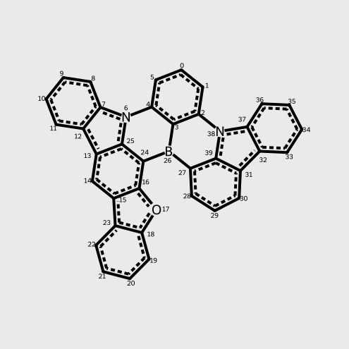 c1cc2c3c(c1)-n1c4ccccc4c4cc5c(oc6ccccc65)c(c41)B3c1cccc3c4ccccc4n-2c13